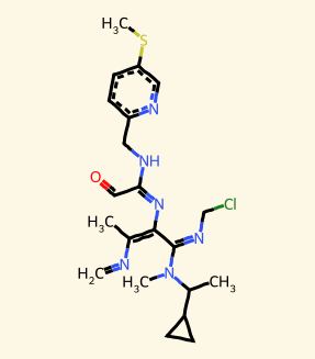 C=N/C(C)=C(/N=C(\C=O)NCc1ccc(SC)cn1)C(=N/CCl)\N(C)C(C)C1CC1